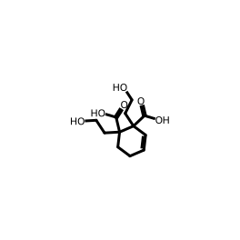 O=C(O)C1(CCO)C=CCCC1(CCO)C(=O)O